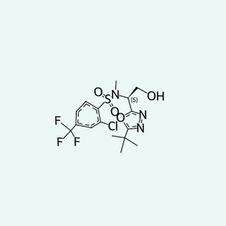 CN([C@@H](CO)c1nnc(C(C)(C)C)o1)S(=O)(=O)c1ccc(C(F)(F)F)cc1Cl